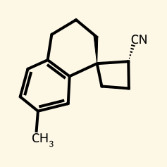 Cc1ccc2c(c1)[C@@]1(CCC2)CC[C@H]1C#N